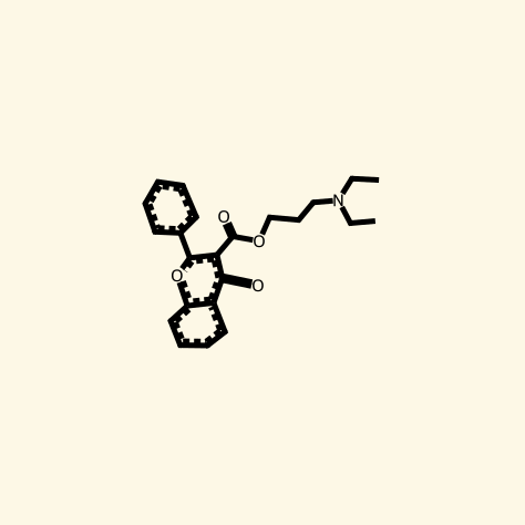 CCN(CC)CCCOC(=O)c1c(-c2ccccc2)oc2ccccc2c1=O